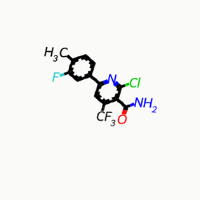 Cc1ccc(-c2cc(C(F)(F)F)c(C(N)=O)c(Cl)n2)cc1F